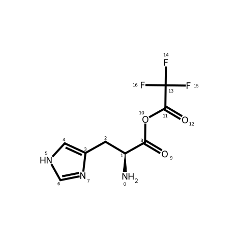 N[C@@H](Cc1c[nH]cn1)C(=O)OC(=O)C(F)(F)F